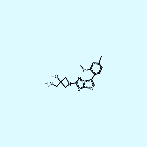 COc1cc(C)ccc1-c1cnc2sc(N3CC(O)(CN)C3)nn12